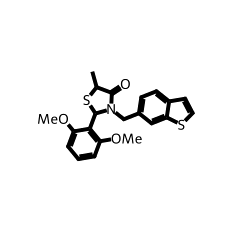 COc1cccc(OC)c1C1SC(C)C(=O)N1Cc1ccc2ccsc2c1